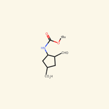 CC(C)(C)OC(=O)NC1CC(C(=O)O)CC1C=O